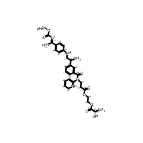 CCCCCCOC(=O)/N=C(\N)c1ccc(NCC(N)c2cccc(C(=O)N(CCC(=O)OCCOC(=O)[C@H](N)C(C)C)C3=CC=CCN3)c2)cc1